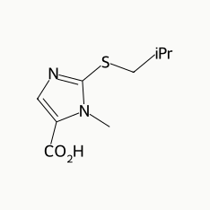 CC(C)CSc1ncc(C(=O)O)n1C